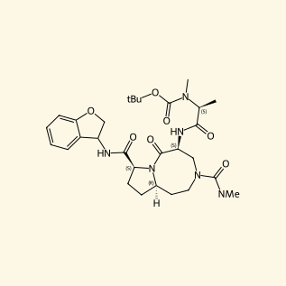 CNC(=O)N1CC[C@H]2CC[C@@H](C(=O)NC3COc4ccccc43)N2C(=O)[C@@H](NC(=O)[C@H](C)N(C)C(=O)OC(C)(C)C)C1